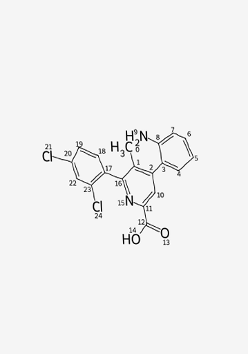 Cc1c(-c2ccccc2N)cc(C(=O)O)nc1-c1ccc(Cl)cc1Cl